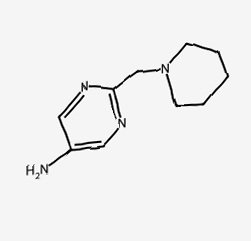 Nc1cnc(CN2CCCCC2)nc1